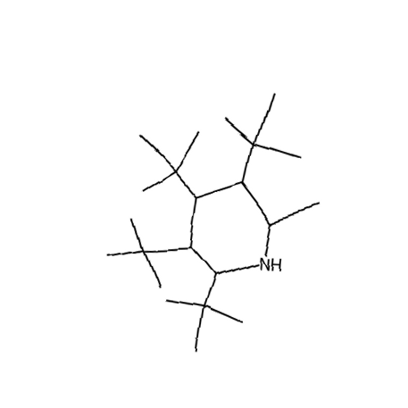 CC1NC(C(C)(C)C)C(C(C)(C)C)C(C(C)(C)C)C1C(C)(C)C